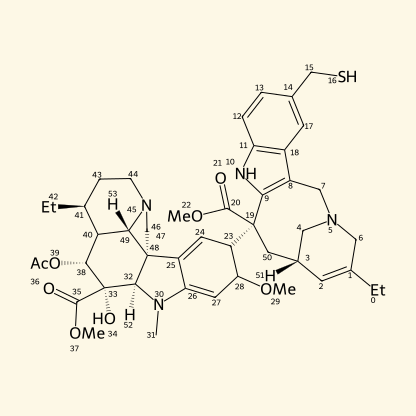 CCC1=C[C@H]2CN(C1)Cc1c([nH]c3ccc(CS)cc13)[C@@](C(=O)OC)(C1C=C3C(=CC1OC)N(C)[C@H]1[C@@](O)(C(=O)OC)[C@H](OC(C)=O)C4[C@@H](CC)CCN5CC[C@]31[C@H]45)C2